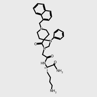 NCCCC[C@H](NC(=O)CN1CN(c2ccccc2)C2(CCN(Cc3cccc4ccccc34)CC2)C1=O)C(N)=O